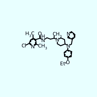 CCOc1ccc(N(Cc2cccnc2)C2CCN(C(C)CCNC(=O)c3c(C)cc(Cl)nc3C)CC2)cc1